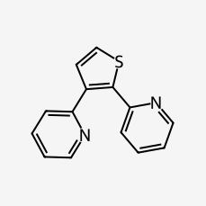 c1ccc(-c2ccsc2-c2ccccn2)nc1